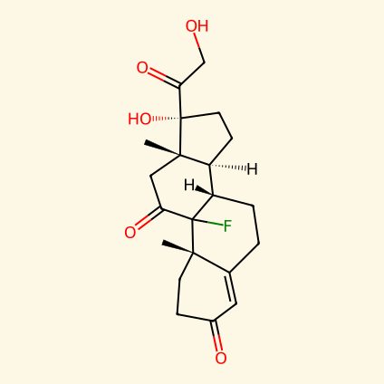 C[C@]12CCC(=O)C=C1CC[C@H]1[C@@H]3CC[C@](O)(C(=O)CO)[C@@]3(C)CC(=O)C12F